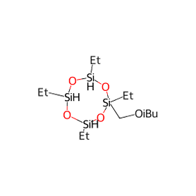 CC[SiH]1O[SiH](CC)O[Si](CC)(COCC(C)C)O[SiH](CC)O1